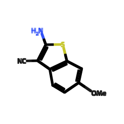 COc1ccc2c(C#N)c(N)sc2c1